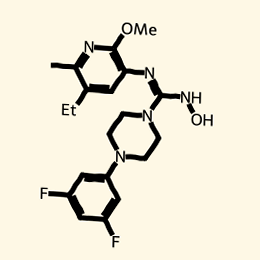 CCc1cc(N=C(NO)N2CCN(c3cc(F)cc(F)c3)CC2)c(OC)nc1C